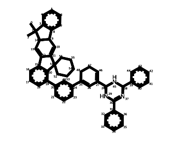 CC1(C)c2ccccc2C2C=C3C(=CC21)c1cccc(-c2cccc(C4=CC(C5NC(c6ccccc6)=NC(c6ccccc6)N5)=CCC4)c2)c1C31CCCCC1